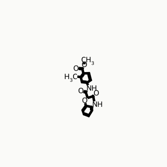 COC(=O)c1ccc(NC(=O)C2Oc3ccccc3NC2=O)cc1C